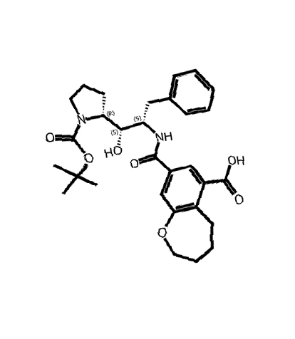 CC(C)(C)OC(=O)N1CCC[C@@H]1[C@@H](O)[C@H](Cc1ccccc1)NC(=O)c1cc2c(c(C(=O)O)c1)CCCCO2